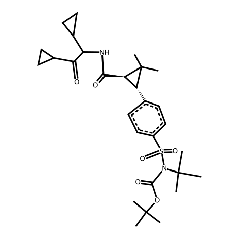 CC(C)(C)OC(=O)N(C(C)(C)C)S(=O)(=O)c1ccc([C@@H]2[C@@H](C(=O)NC(C(=O)C3CC3)C3CC3)C2(C)C)cc1